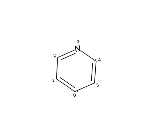 [c]1c[c]n[c]c1